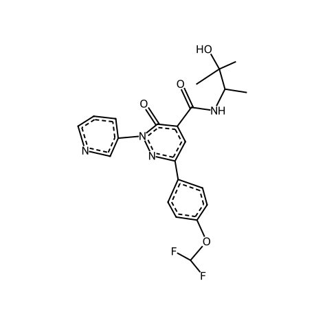 CC(NC(=O)c1cc(-c2ccc(OC(F)F)cc2)nn(-c2cccnc2)c1=O)C(C)(C)O